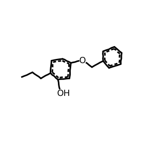 CCCc1ccc(OCc2ccccc2)cc1O